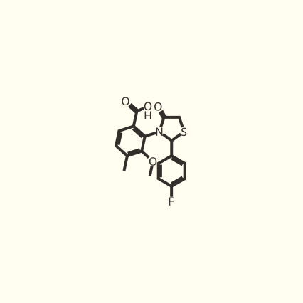 COc1c(C)ccc(C(=O)O)c1N1C(=O)CSC1c1ccc(F)cc1